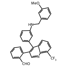 COc1cccc(CNc2cccc(-c3c(-c4ccccc4C=O)cnc4c(C(F)(F)F)cccc34)c2)c1